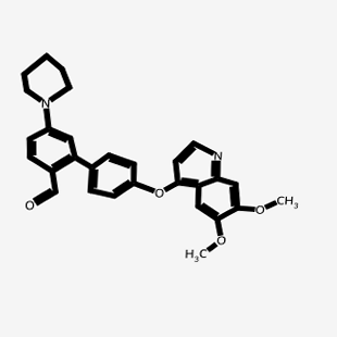 COc1cc2nccc(Oc3ccc(-c4cc(N5CCCCC5)ccc4C=O)cc3)c2cc1OC